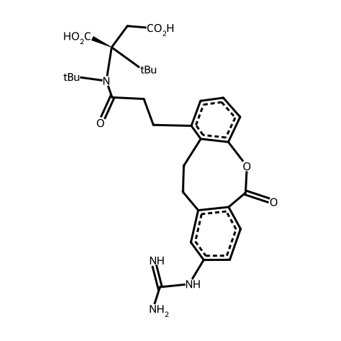 CC(C)(C)N(C(=O)CCc1cccc2c1CCc1cc(NC(=N)N)ccc1C(=O)O2)[C@@](CC(=O)O)(C(=O)O)C(C)(C)C